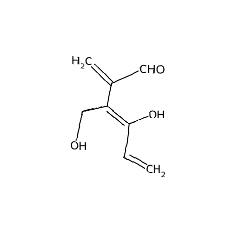 C=CC(O)=C(CO)C(=C)C=O